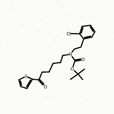 CC(C)(C)OC(=O)N(CCCCCC(=O)c1cccs1)CCc1ccccc1Cl